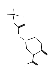 CC(=O)C1CN(OC(=O)OC(C)(C)C)CCC1=O